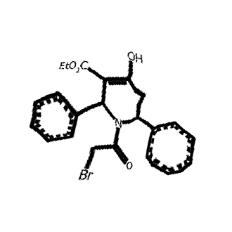 CCOC(=O)C1=C(O)CC(c2ccccc2)N(C(=O)CBr)C1c1ccccc1